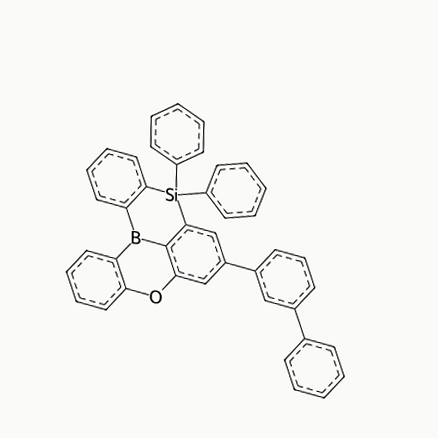 c1ccc(-c2cccc(-c3cc4c5c(c3)[Si](c3ccccc3)(c3ccccc3)c3ccccc3B5c3ccccc3O4)c2)cc1